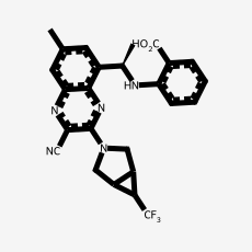 Cc1cc([C@@H](C)Nc2ccccc2C(=O)O)c2nc(N3CC4C(C3)C4C(F)(F)F)c(C#N)nc2c1